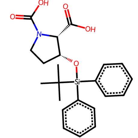 CC(C)(C)[Si](O[C@@H]1CCN(C(=O)O)[C@@H]1C(=O)O)(c1ccccc1)c1ccccc1